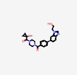 O=C(c1ccc(-c2ccc3ncn(CCO)c3c2)cc1)N1CCN(C(=O)C2(O)CC2)CC1